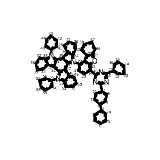 c1ccc(-c2ccc(-c3nc(-c4ccccc4)nc(-c4ccc(-n5c6ccccc6c6c7c(c8ccccc8n7-c7ccccc7)c7c(c8ccccc8n7-c7ccccc7)c65)c5c4oc4ccccc45)n3)cc2)cc1